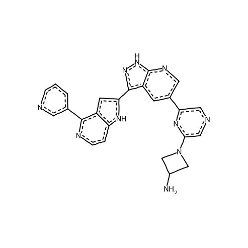 NC1CN(c2cncc(-c3cnc4[nH]nc(-c5cc6c(-c7cccnc7)nccc6[nH]5)c4c3)n2)C1